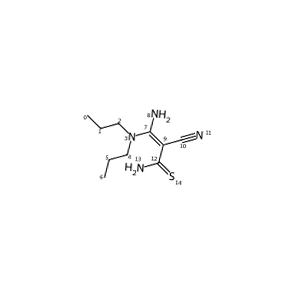 CCCN(CCC)/C(N)=C(/C#N)C(N)=S